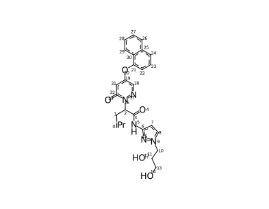 CC(C)CC(C(=O)Nc1ccn(C[C@@H](O)CO)n1)n1ncc(Oc2cccc3ccccc23)cc1=O